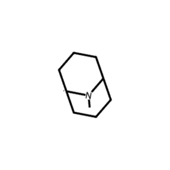 CN1[C]2CCCC1CCC2